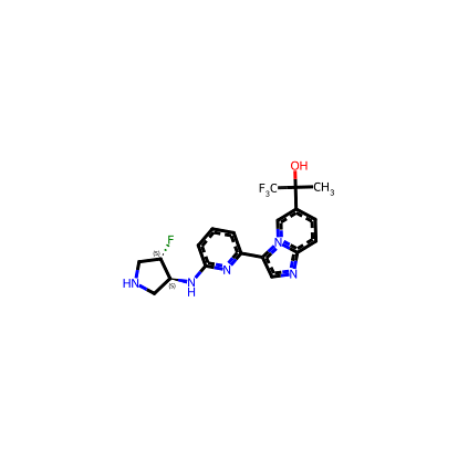 CC(O)(c1ccc2ncc(-c3cccc(N[C@H]4CNC[C@@H]4F)n3)n2c1)C(F)(F)F